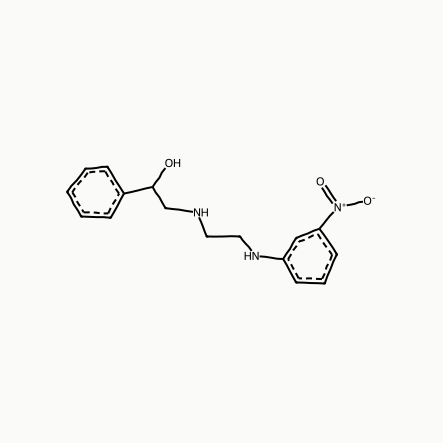 O=[N+]([O-])c1cccc(NCCNCC(O)c2ccccc2)c1